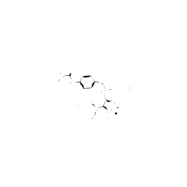 CCCCCCN(CCCCCC)C1=NS(=O)(=O)N=C1N[C@@H](Cc1ccc(OC(=O)N(C)C)cc1)C(=O)O